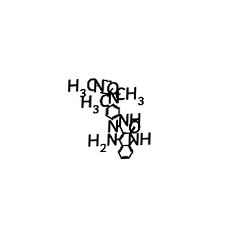 CN1CCOC(C)(N(C)c2ccc3nc(-c4c(N)c5ccccc5[nH]c4=O)[nH]c3c2)C1